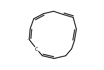 [C]1=CC=CCC=CC=CCCC=CC1